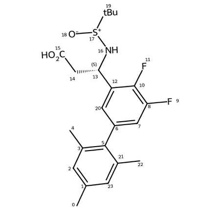 Cc1cc(C)c(-c2cc(F)c(F)c([C@H](CC(=O)O)N[S+]([O-])C(C)(C)C)c2)c(C)c1